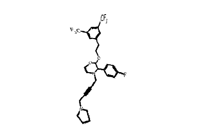 Fc1ccc(C2C(OCCc3cc(C(F)(F)F)cc(C(F)(F)F)c3)OCCN2CC#CCN2CCCC2)cc1